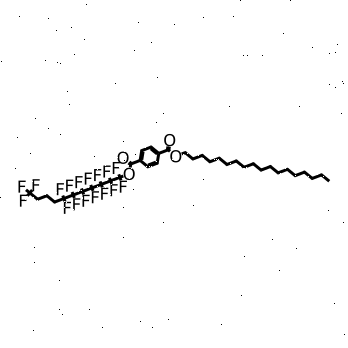 CCCCCCCCCCCCCCCCCCOC(=O)c1ccc(C(=O)OC(F)(F)C(F)(F)C(F)(F)C(F)(F)C(F)(F)C(F)(F)C(F)(F)CCCC(F)(F)F)cc1